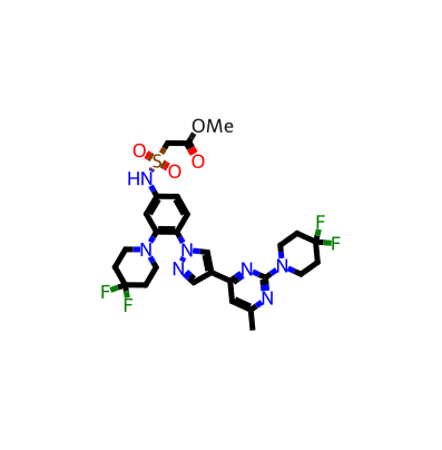 COC(=O)CS(=O)(=O)Nc1ccc(-n2cc(-c3cc(C)nc(N4CCC(F)(F)CC4)n3)cn2)c(N2CCC(F)(F)CC2)c1